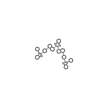 c1ccc(-n2c(-c3ccc(-c4cccc5c(-c6nc7ccccc7nc6-c6cccc7c(-c8ccc(-c9nc%10ccccc%10n9-c9ccccc9)cc8)cccc67)cccc45)cc3)nc3ccccc32)cc1